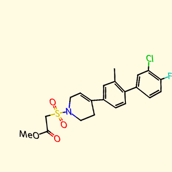 COC(=O)CS(=O)(=O)N1CC=C(c2ccc(-c3ccc(F)c(Cl)c3)c(C)c2)CC1